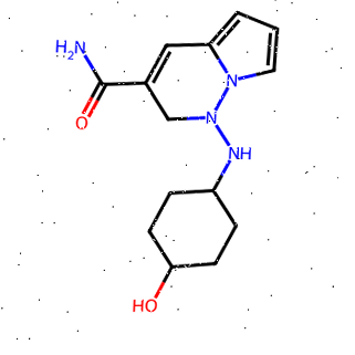 NC(=O)C1=Cc2cccn2N(NC2CCC(O)CC2)C1